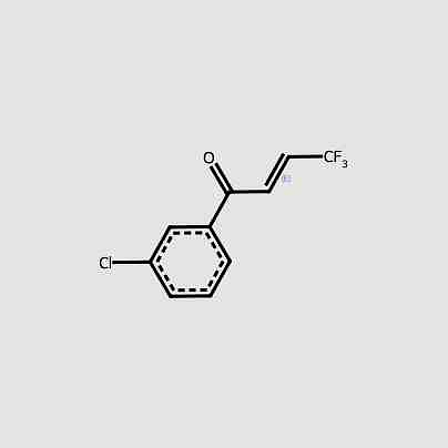 O=C(/C=C/C(F)(F)F)c1cccc(Cl)c1